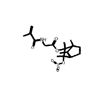 C=C(C)C(=O)NCC(=O)OC1(C)C2(C)CCC(C2C)C1(C)O[SH](=O)=O